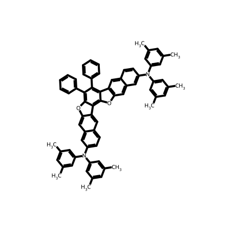 Cc1cc(C)cc(N(c2cc(C)cc(C)c2)c2ccc3cc4c(cc3c2)oc2c4c(-c3ccccc3)c(-c3ccccc3)c3oc4cc5cc(N(c6cc(C)cc(C)c6)c6cc(C)cc(C)c6)ccc5cc4c32)c1